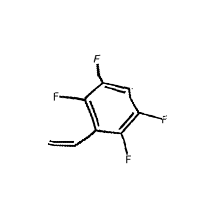 C=Cc1c(F)c(F)[c]c(F)c1F